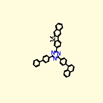 C[Si]1(C)c2cc(-c3nc(-c4ccc(-c5ccccc5)cc4)nc(-c4ccc(-c5cccc6ccccc56)cc4)n3)ccc2-c2cc3ccccc3cc21